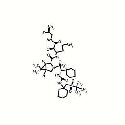 C=C(F)CNC(=O)C(=O)C(CCC)NC(=O)[C@@H]1[C@@H]2[C@H](CN1C(=O)[C@@H](NC(=O)NC1(CS(=O)(=O)C(C)(C)C)CCCCC1)C1(C)CCCCC1)C2(C)C